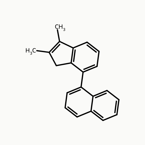 CC1=C(C)c2cccc(-c3cccc4ccccc34)c2C1